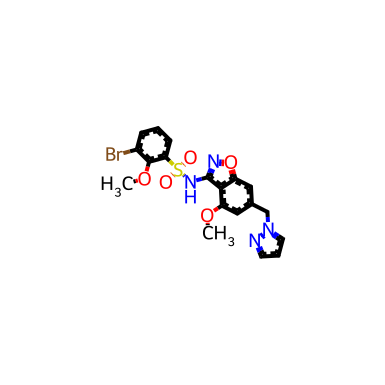 COc1c(Br)cccc1S(=O)(=O)Nc1noc2cc(Cn3cccn3)cc(OC)c12